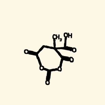 CC1(C(=O)O)CC(=O)OC(=O)OC1=O